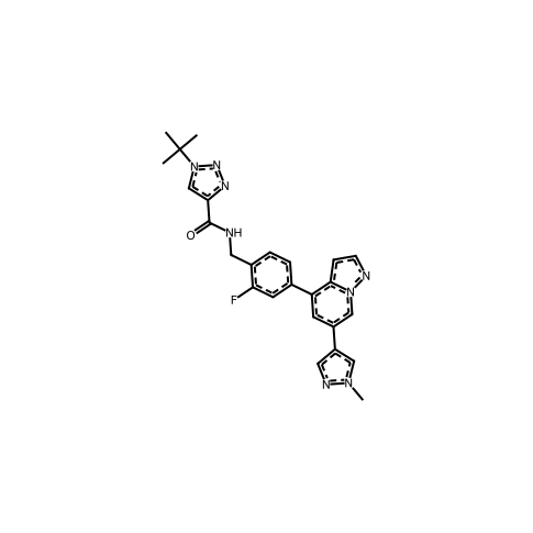 Cn1cc(-c2cc(-c3ccc(CNC(=O)c4cn(C(C)(C)C)nn4)c(F)c3)c3ccnn3c2)cn1